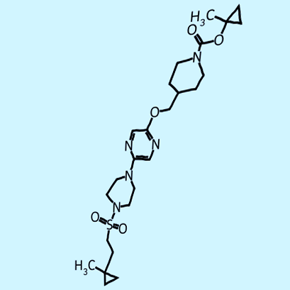 CC1(CCS(=O)(=O)N2CCN(c3cnc(OCC4CCN(C(=O)OC5(C)CC5)CC4)cn3)CC2)CC1